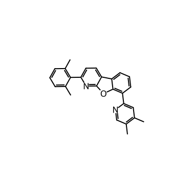 Cc1cnc(-c2cccc3c2oc2nc(-c4c(C)cccc4C)ccc23)cc1C